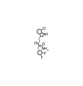 NC(=O)N(Cc1ccc(F)c(F)c1)C(=O)CCc1c[nH]c2c(Cl)cccc12